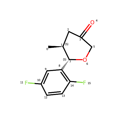 C[C@H]1CC(=O)CO[C@@H]1c1cc(F)ccc1F